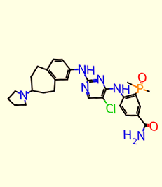 CP(C)(=O)c1cc(C(N)=O)ccc1Nc1nc(Nc2ccc3c(c2)CCC(N2CCCC2)CC3)ncc1Cl